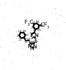 FC(F)(F)c1cc(-c2csc(Sc3nnnn3CCc3ccccc3)n2)cc(C(F)(F)F)c1